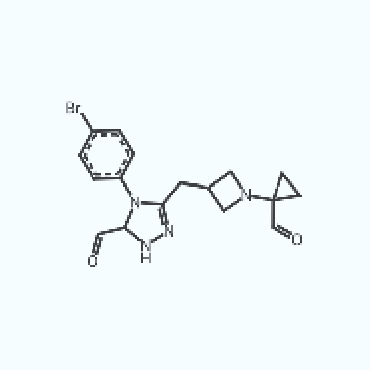 O=CC1NN=C(CC2CN(C3(C=O)CC3)C2)N1c1ccc(Br)cc1